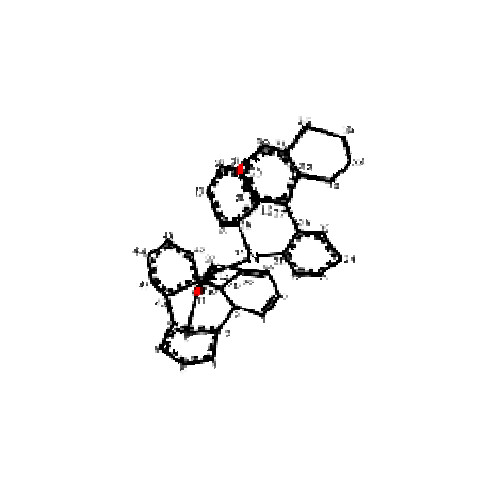 C1=CC2c3cccc4c3-c3cccc(N(c5ccccc5)c5ccccc5-c5cccc6c5CCCC6)c3C(=C1)C2c1ccccc1-4